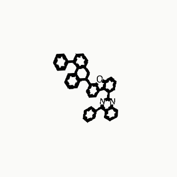 c1ccc(-c2cccc3c2-c2ccccc2C(c2cccc4c2oc2cccc(-c5nc(-c6ccccc6)c6ccccc6n5)c24)C3)cc1